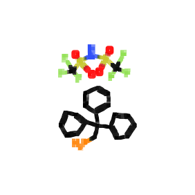 O=S(=O)(NS(=O)(=O)C(F)(F)F)C(F)(F)F.PCC(c1ccccc1)(c1ccccc1)c1ccccc1